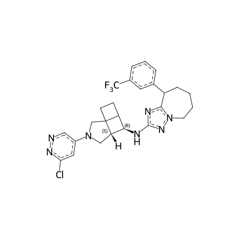 FC(F)(F)c1cccc(C2CCCCn3nc(N[C@@H]4C5CCC56CN(c5cnnc(Cl)c5)C[C@@H]46)nc32)c1